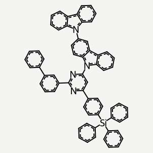 c1ccc(-c2cccc(-c3nc(-c4ccc([Si](c5ccccc5)(c5ccccc5)c5ccccc5)cc4)cc(-n4c5ccccc5c5cc(-n6c7ccccc7c7ccccc76)ccc54)n3)c2)cc1